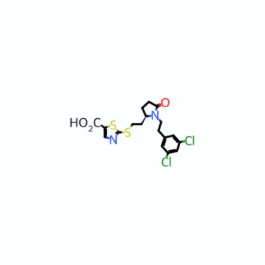 O=C(O)c1cnc(SCC[C@H]2CCC(=O)N2CCc2cc(Cl)cc(Cl)c2)s1